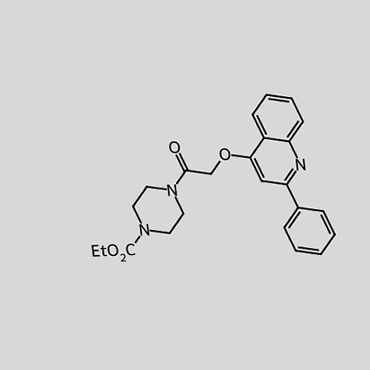 CCOC(=O)N1CCN(C(=O)COc2cc(-c3ccccc3)nc3ccccc23)CC1